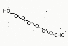 O=CCOCCOCCOCCOCCOCCOCCO